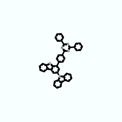 c1ccc(-c2nc(-c3ccccc3)nc(-c3ccc(-c4cc(-n5c6ccccc6c6ccccc65)cc5c4sc4ccccc45)cc3)n2)cc1